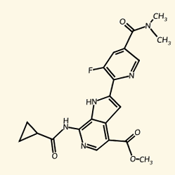 COC(=O)c1cnc(NC(=O)C2CC2)c2[nH]c(-c3ncc(C(=O)N(C)C)cc3F)cc12